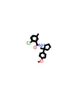 COc1ccc(C2(CNC(=O)c3cc(C)ccc3Cl)CCCC2)cc1